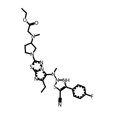 CCOC(=O)CN(C)C1CCN(c2nn3c(N(C)N4NC(c5ccc(F)cc5)=C(C#N)S4)c(CC)nc3s2)C1